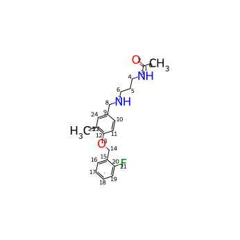 CC(=O)NCCCNCc1ccc(OCc2ccccc2F)c(C)c1